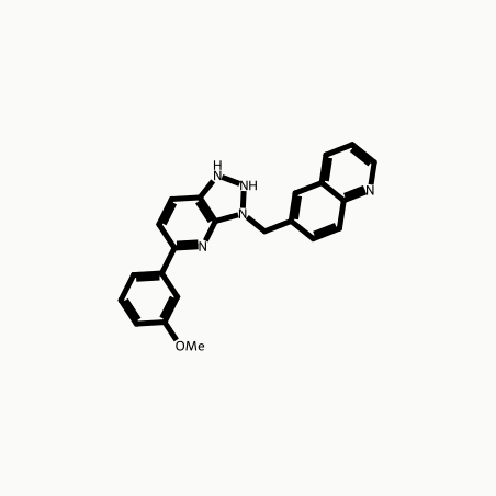 COc1cccc(-c2ccc3c(n2)N(Cc2ccc4ncccc4c2)NN3)c1